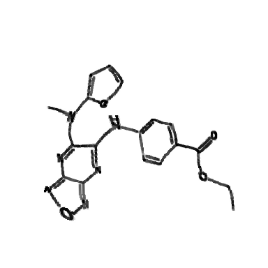 CCOC(=O)c1ccc(Nc2nc3nonc3nc2N(C)c2ccco2)cc1